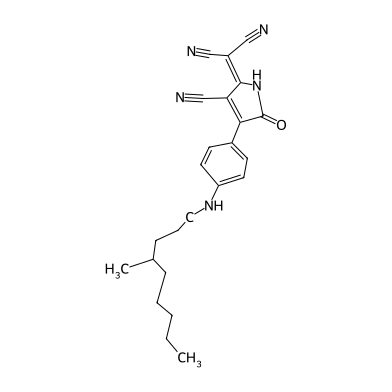 CCCCCC(C)CCCNc1ccc(C2=C(C#N)C(=C(C#N)C#N)NC2=O)cc1